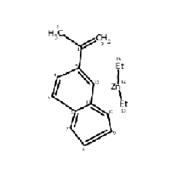 C=C(C)c1ccc2ccccc2c1.C[CH2][Zn][CH2]C